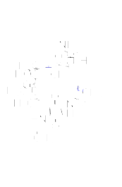 C=CCNC1=C2C[C@H](C)C[C@H](OC)[C@@H](O)[C@H](C)/C=C(\C)[C@H](OC(N)=O)[C@@H](OC)CC/C=C(/C)C(=O)NC(=CC1=O)C2=O